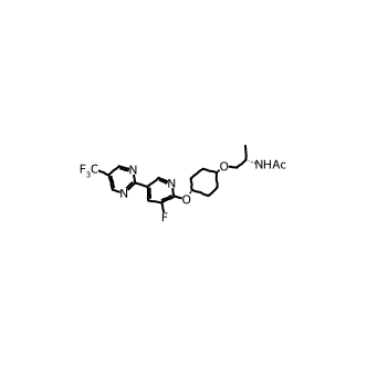 CC(=O)N[C@@H](C)CO[C@H]1CC[C@H](Oc2ncc(-c3ncc(C(F)(F)F)cn3)cc2F)CC1